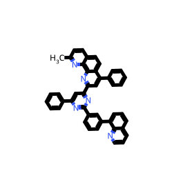 Cc1ccc2ccc3c(-c4ccccc4)cc(-c4cc(-c5ccccc5)nc(-c5cccc(-c6cccc7cccnc67)c5)n4)nc3c2n1